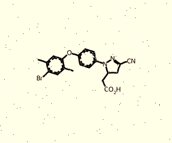 Cc1cc(Oc2ccc(N3N=C(C#N)CC3CC(=O)O)cc2)c(C)cc1Br